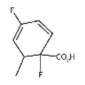 CC1C=C(F)C=CC1(F)C(=O)O